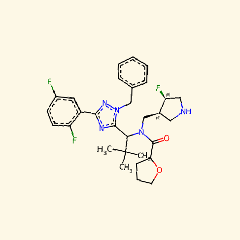 CC(C)(C)C(c1nc(-c2cc(F)ccc2F)nn1Cc1ccccc1)N(C[C@@H]1CNC[C@@H]1F)C(=O)C1CCCO1